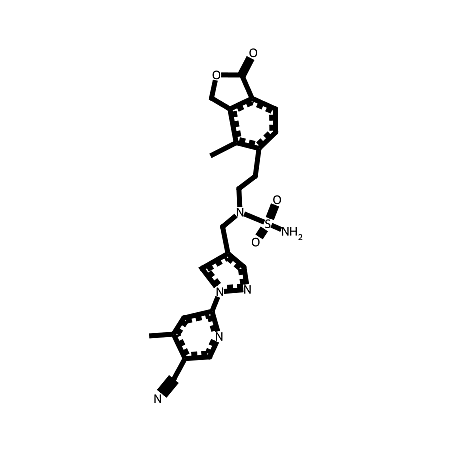 Cc1cc(-n2cc(CN(CCc3ccc4c(c3C)COC4=O)S(N)(=O)=O)cn2)ncc1C#N